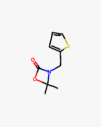 CC1(C)OC(=O)N1Cc1cccs1